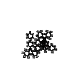 c1ccc(-c2ccc(-n3c4ccccc4c4ccccc43)c(-c3cccc(-c4nc(-c5ccccc5)nc(-n5c6ccccc6c6cccc(-c7cccc8c7oc7ccccc78)c65)n4)c3)c2)cc1